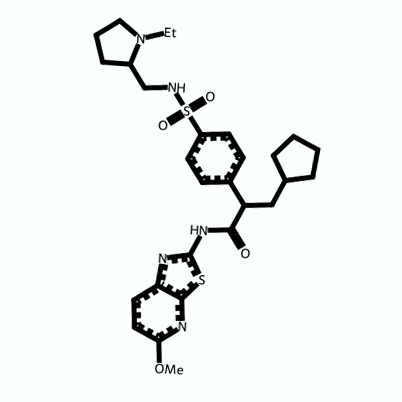 CCN1CCCC1CNS(=O)(=O)c1ccc(C(CC2CCCC2)C(=O)Nc2nc3ccc(OC)nc3s2)cc1